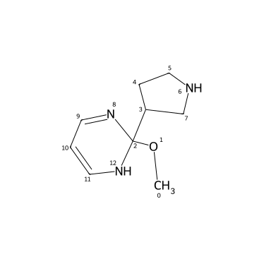 COC1(C2CCNC2)N=CC=CN1